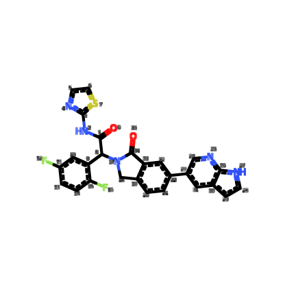 O=C(Nc1nccs1)C(c1cc(F)ccc1F)N1Cc2ccc(-c3cnc4[nH]ccc4c3)cc2C1=O